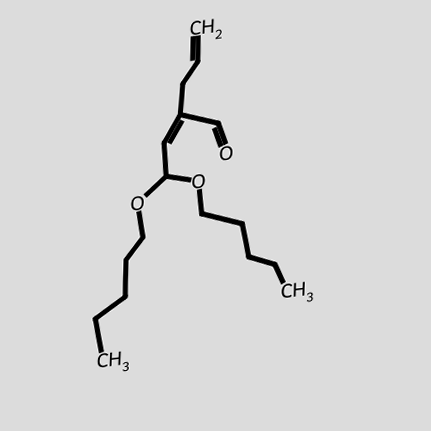 C=CCC(C=O)=CC(OCCCCC)OCCCCC